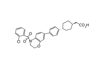 O=C(O)C[C@H]1CC[C@H](c2ccc(-c3ccc4c(c3)OCCN4S(=O)(=O)c3ccccc3Cl)cc2)CC1